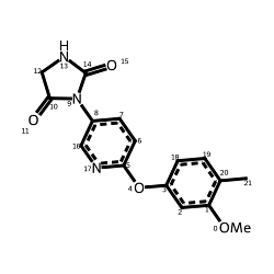 COc1cc(Oc2ccc(N3C(=O)CNC3=O)cn2)ccc1C